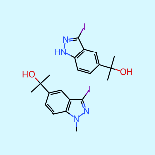 CC(C)(O)c1ccc2[nH]nc(I)c2c1.Cn1nc(I)c2cc(C(C)(C)O)ccc21